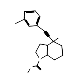 COC(=O)N1CC[C@@H]2C1CCCC2(O)C#Cc1cccc(C)c1